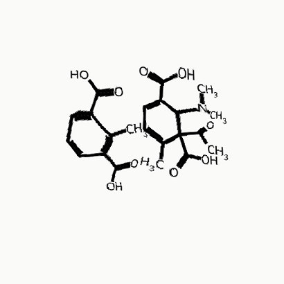 CC(=O)C1(C(=O)O)C(C)=CC=C(C(=O)O)C1N(C)C.Cc1c(C(=O)O)cccc1C(=O)O